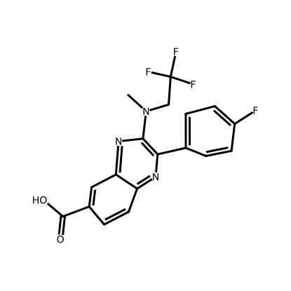 CN(CC(F)(F)F)c1nc2cc(C(=O)O)ccc2nc1-c1ccc(F)cc1